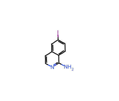 Nc1nccc2cc(I)ccc12